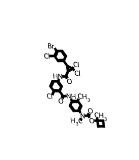 Cc1cc(N(C)C(=O)OC2(C)CCC2)ccc1NC(=O)c1cc(NC(=O)C2C(c3ccc(Br)c(Cl)c3)C2(Cl)Cl)ccc1Cl